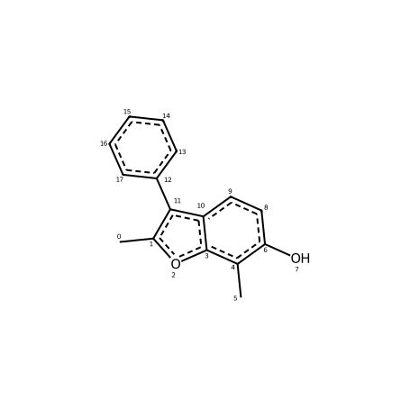 Cc1oc2c(C)c(O)ccc2c1-c1ccccc1